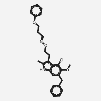 COc1c(Cc2ccccc2)cc2[nH]c(C)c(CCON=CCCOc3ccccc3)c2c1Cl